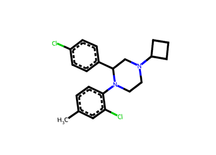 Cc1ccc(N2CCN(C3CCC3)CC2c2ccc(Cl)cc2)c(Cl)c1